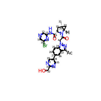 CC(=O)c1nn(CC(=O)N2[C@H](C(=O)Nc3cncc(Br)n3)C[C@@]3(C)C[C@@H]23)c2ccc(-c3cnc(CO)nc3)cc12